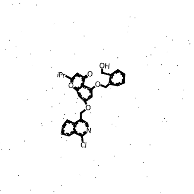 CC(C)c1cc(=O)c2c(OCc3ccccc3CO)cc(OCc3cnc(Cl)c4ccccc34)cc2o1